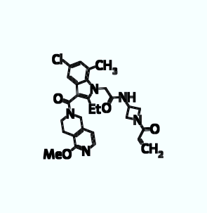 C=CC(=O)N1CC(NC(=O)Cn2c(CC)c(C(=O)N3CCc4c(ccnc4OC)C3)c3cc(Cl)cc(C)c32)C1